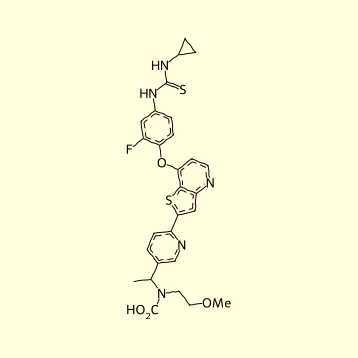 COCCN(C(=O)O)C(C)c1ccc(-c2cc3nccc(Oc4ccc(NC(=S)NC5CC5)cc4F)c3s2)nc1